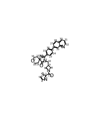 O=C(c1nccs1)N1CC(CN2C(=O)C3(CCOCC3)N=C2c2ccc(-c3ccc4cccnc4c3)cc2)C1